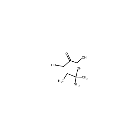 CCC(C)(N)O.O=C(CO)CO